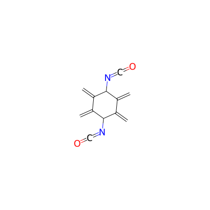 C=C1C(=C)C(N=C=O)C(=C)C(=C)C1N=C=O